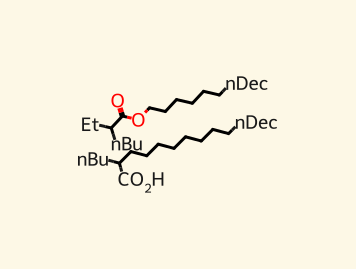 CCCCCCCCCCCCCCCCCCC(CCCC)C(=O)O.CCCCCCCCCCCCCCCCOC(=O)C(CC)CCCC